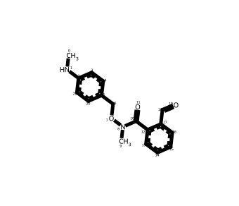 CNc1ccc(CON(C)C(=O)c2ccccc2C=O)cc1